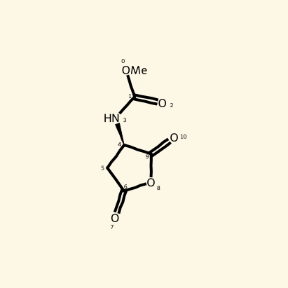 COC(=O)N[C@@H]1CC(=O)OC1=O